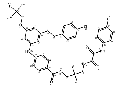 CC(C)(CNC(=O)C(=O)Nc1ccc(Cl)cc1)CNC(=O)c1ccc(Nc2cc(NCc3ccc(Cl)cc3)nc(OCC(F)(F)F)n2)nc1